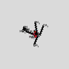 CCCCCCCCCC(CC)SC(SC(CC)CCCCCCCCC)C(SC(CC)CCCCCCCCC)(SC(CC)CCCCCCCCC)C(=O)O.OCC(CO)(CO)CO